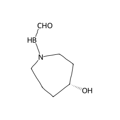 O=CBN1CCC[C@@H](O)CC1